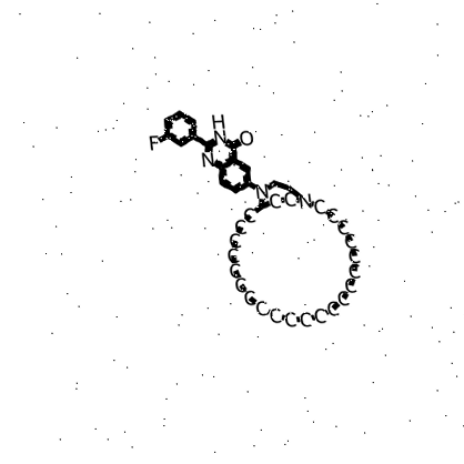 O=c1[nH]c(-c2cccc(F)c2)nc2ccc(N3CCN4CCCCCCCCCCCCCCCCCCCCCC3CC4)cc12